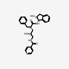 O=C(NC[C@@H](O)C[C@@H](Cc1ccccc1)C(=O)N[C@H]1c2ccccc2C[C@H]1O)c1ccncc1